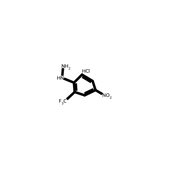 Cl.NNc1ccc([N+](=O)[O-])cc1C(F)(F)F